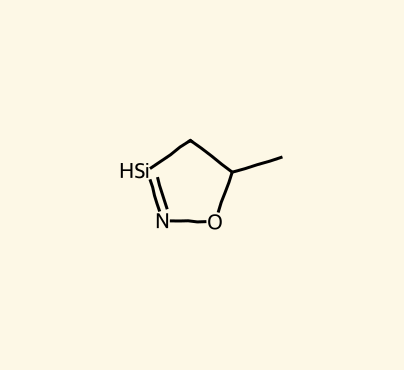 CC1C[SiH]=NO1